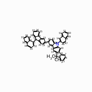 CC1(C)c2ccccc2-c2cc3c(cc21)c1cc(-c2ccc4c(c2)-c2ccccc2C4c2cccc4ccccc24)ccc1n3-c1ccc2ccccc2c1